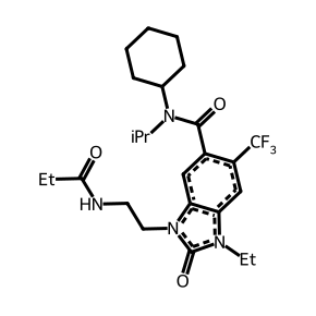 CCC(=O)NCCn1c(=O)n(CC)c2cc(C(F)(F)F)c(C(=O)N(C(C)C)C3CCCCC3)cc21